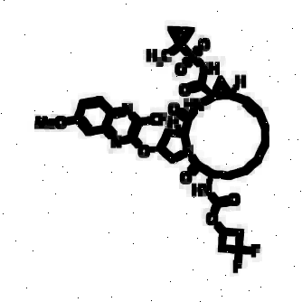 COc1ccc2nc(C(F)(F)F)c(O[C@@H]3C[C@H]4C(=O)N[C@]5(C(=O)NS(=O)(=O)C6(C)CC6)C[C@H]5/C=C\CCCCC[C@H](NC(=O)OC5CC(F)(F)C5)C(=O)N4C3)nc2c1